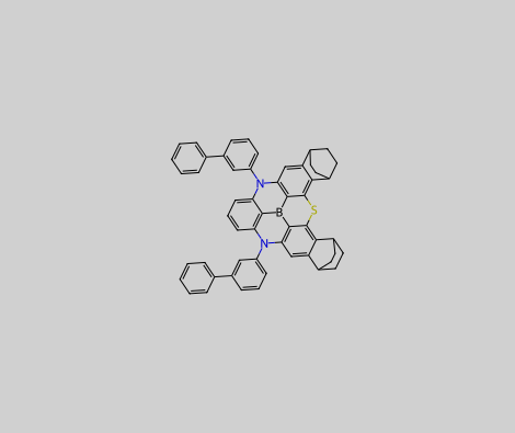 c1ccc(-c2cccc(N3c4cccc5c4B4c6c3cc3c(c6Sc6c4c(cc4c6C6CCC4CC6)N5c4cccc(-c5ccccc5)c4)C4CCC3CC4)c2)cc1